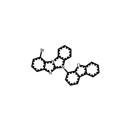 Brc1cccc2nc3n(-c4cccc5c4oc4ccccc45)c4ccccc4n3c12